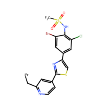 CC(C)Cc1cc(-c2nc(-c3cc(Cl)c(NS(=O)(=O)C(F)(F)F)c(Br)c3)cs2)ccn1